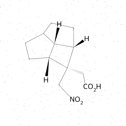 O=C(O)C[C@]1(C[N+](=O)[O-])[C@@H]2CCC3CC[C@H]1[C@@H]32